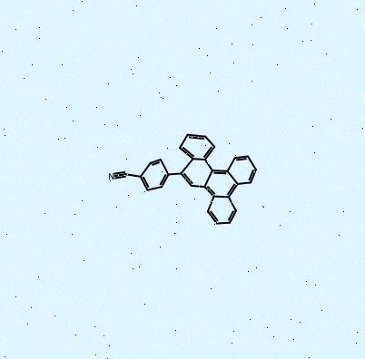 N#Cc1ccc(-c2cc3c4ccccc4c4ccccc4c3c3ccccc23)cc1